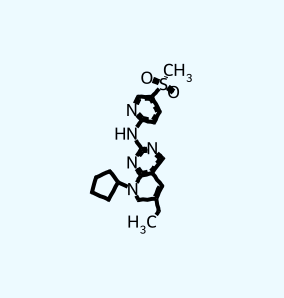 CCC1=Cc2cnc(Nc3ccc(S(C)(=O)=O)cn3)nc2N(C2CCCC2)C1